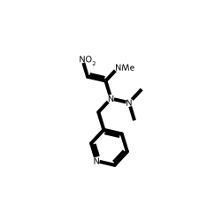 CNC(=C[N+](=O)[O-])N(Cc1cccnc1)N(C)C